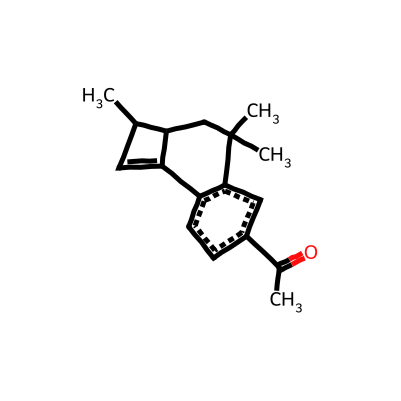 CC(=O)c1ccc2c(c1)C(C)(C)CC1C2=CC1C